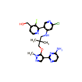 Cn1ncc(-c2nccc(N)n2)c1OCC(C)(C)CNc1cc(Cl)ncc1-c1nccc(CO)c1F